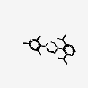 CCN(/C=C\N(C)c1c(C)cc(C)nc1C)c1c(C(C)C)cccc1C(C)C